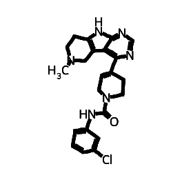 CN1CCc2[nH]c3ncnc(C4=CCN(C(=O)Nc5cccc(Cl)c5)CC4)c3c2C1